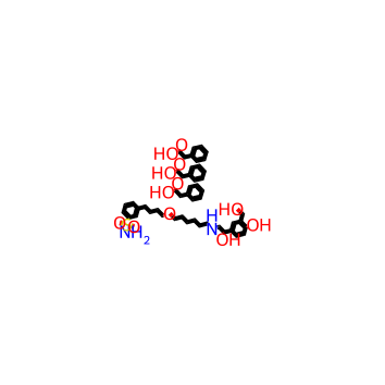 NS(=O)(=O)c1cccc(CCCCOCCCCCCNC[C@H](O)c2ccc(O)c(CO)c2)c1.O=C(O)Cc1ccccc1.O=C(O)Cc1ccccc1.O=C(O)Cc1ccccc1